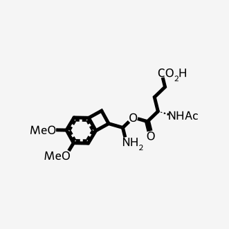 COc1cc2c(cc1OC)C(C(N)OC(=O)[C@H](CCC(=O)O)NC(C)=O)C2